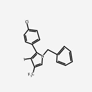 FC(F)(F)c1cn(Cc2ccccc2)c(-c2ccc(Cl)cc2)c1I